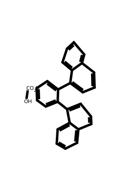 O=C(O)O.c1ccc(-c2cccc3ccccc23)c(-c2cccc3ccccc23)c1